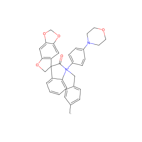 [CH]c1ccc(C[N+]2(c3ccc(N4CCOCC4)cc3)C(=O)C3(COc4cc5c(cc43)OCO5)c3ccccc32)cc1